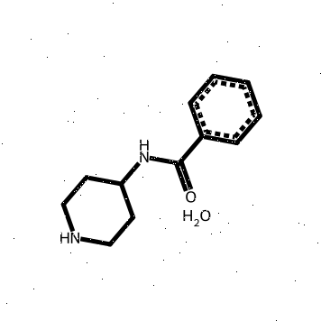 O.O=C(NC1CCNCC1)c1ccccc1